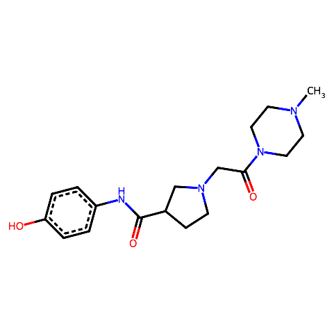 CN1CCN(C(=O)CN2CCC(C(=O)Nc3ccc(O)cc3)C2)CC1